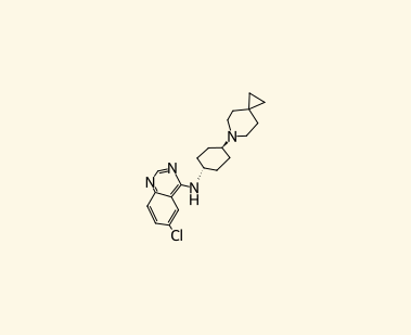 Clc1ccc2ncnc(N[C@H]3CC[C@H](N4CCC5(CC4)CC5)CC3)c2c1